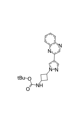 CC(C)(C)OC(=O)NC1CC(n2cc(-c3cnc4ccccc4n3)cn2)C1